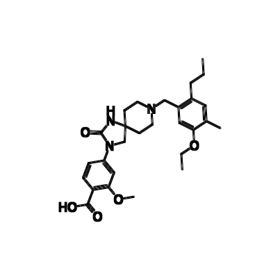 CCCc1cc(C)c(OCC)cc1CN1CCC2(CC1)CN(c1ccc(C(=O)O)c(OC)c1)C(=O)N2